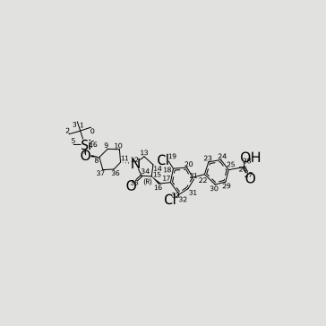 CC(C)(C)[Si](C)(C)O[C@H]1CC[C@H](N2CC[C@@H](Cc3c(Cl)cc(-c4ccc(C(=O)O)cc4)cc3Cl)C2=O)CC1